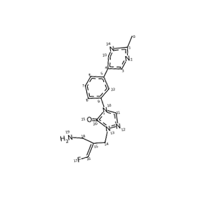 Cc1ncc(-c2cccc(-n3cnn(C/C(=C/F)CN)c3=O)c2)cn1